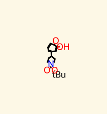 CC(C)(C)OC(=O)N1CCC(c2cccc(=O)c(O)c2)CC1